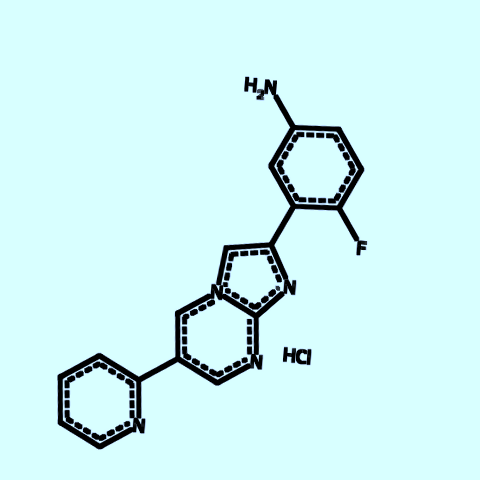 Cl.Nc1ccc(F)c(-c2cn3cc(-c4ccccn4)cnc3n2)c1